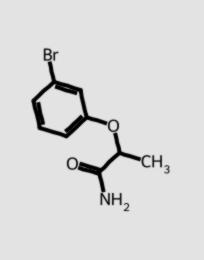 CC(Oc1cccc(Br)c1)C(N)=O